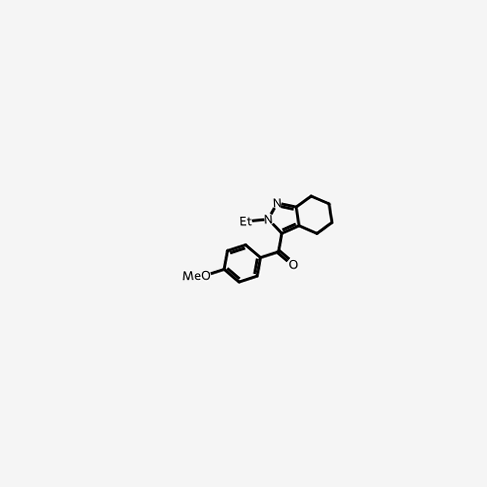 CCn1nc2c(c1C(=O)c1ccc(OC)cc1)CCCC2